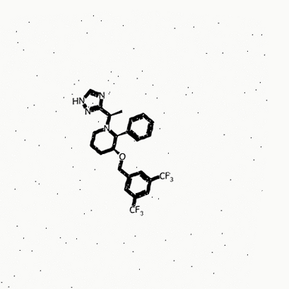 C[C@H](c1nc[nH]n1)N1CCC[C@H](OCc2cc(C(F)(F)F)cc(C(F)(F)F)c2)[C@@H]1c1ccccc1